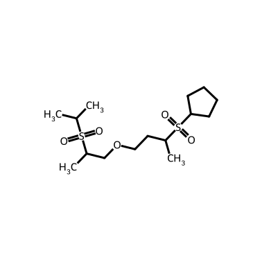 CC(C)S(=O)(=O)C(C)COCCC(C)S(=O)(=O)C1CCCC1